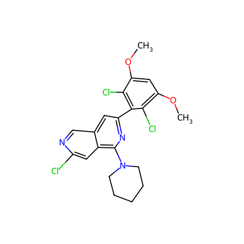 COc1cc(OC)c(Cl)c(-c2cc3cnc(Cl)cc3c(N3CCCCC3)n2)c1Cl